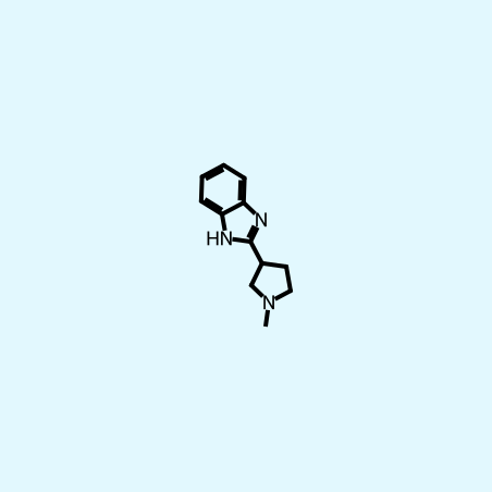 CN1CCC(c2nc3ccccc3[nH]2)C1